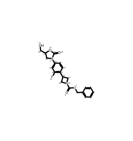 O=C(OCc1ccccc1)N1CC(c2ccc(N3CC(CO)OC3=O)cc2F)C1